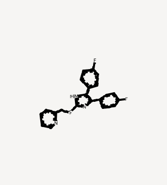 Fc1ccc(-c2nc(SCc3ccccn3)[nH]c2-c2ccc(F)cc2)cc1